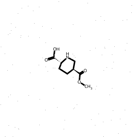 COC(=O)[C@H]1CC[C@H](C(=O)O)NC1